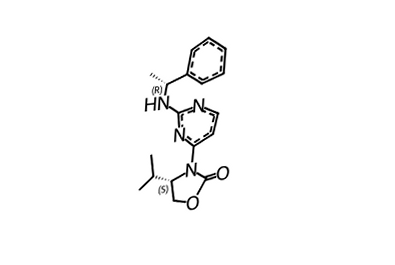 CC(C)[C@H]1COC(=O)N1c1ccnc(N[C@H](C)c2ccccc2)n1